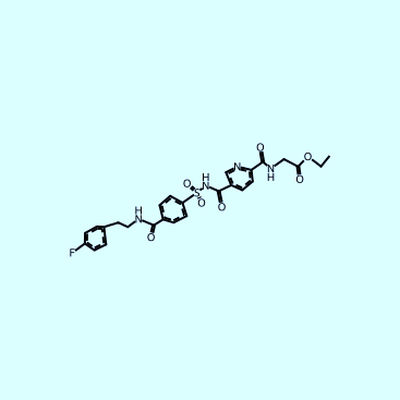 CCOC(=O)CNC(=O)c1ccc(C(=O)NS(=O)(=O)c2ccc(C(=O)NCCc3ccc(F)cc3)cc2)cn1